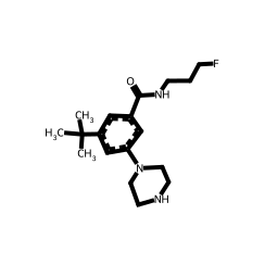 CC(C)(C)c1cc(C(=O)NCCCF)cc(N2CCNCC2)c1